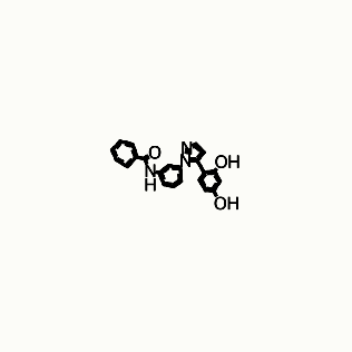 O=C(Nc1cccc(-n2nccc2-c2ccc(O)cc2O)c1)c1ccccc1